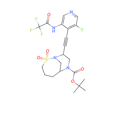 CC(C)(C)OC(=O)N1CC(C#Cc2c(F)cncc2NC(=O)C(F)(F)F)N2CC1CCCS2(=O)=O